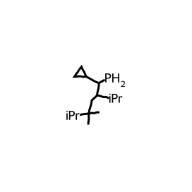 CC(C)C(CC(C)(C)C(C)C)C(P)C1CC1